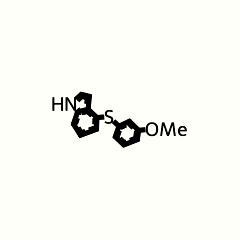 COc1cccc(Sc2cccc3[nH]ccc23)c1